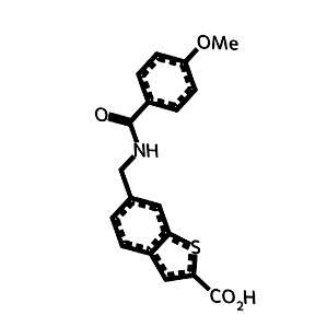 COc1ccc(C(=O)NCc2ccc3cc(C(=O)O)sc3c2)cc1